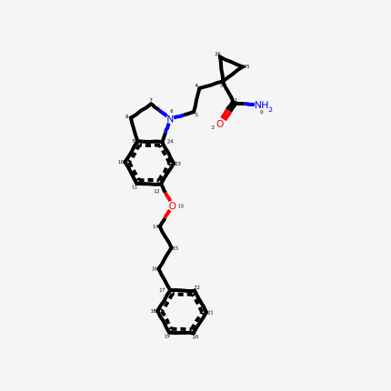 NC(=O)C1(CCN2CCc3ccc(OCCCc4ccccc4)cc32)CC1